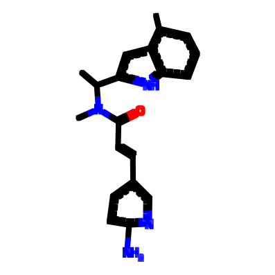 Cc1cccc2[nH]c(C(C)N(C)C(=O)C=Cc3ccc(N)nc3)cc12